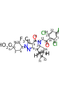 CC1(C(=O)O)CCC(n2ncc(C(=O)N(CC(=O)c3c(Cl)cc(F)cc3Cl)C3C[C@@H]4[C@H](C3)C4(C)C)c2C(F)(F)F)CC1